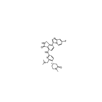 CN(C)Cc1nc(Nc2ccc(-c3cnc4cc(F)ccn34)c3c2C(=O)NC3)ccc1[C@H]1CCN(C)C(=O)C1